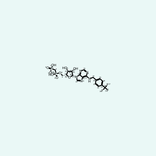 O=P(O)(O)CP(=O)(O)OC[C@H]1O[C@@H](n2cnc3c(NCc4ccc(C(F)(F)F)cc4)ncnc32)[C@H](O)[C@@H]1O